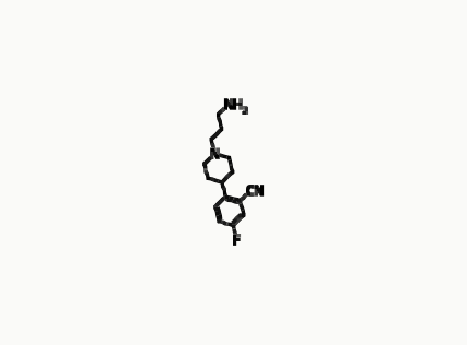 N#Cc1cc(F)ccc1C1CCN(CCCN)CC1